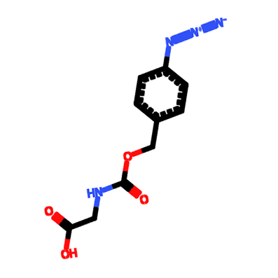 [N-]=[N+]=Nc1ccc(COC(=O)NCC(=O)O)cc1